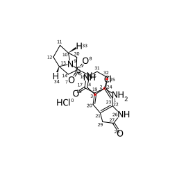 Cl.NC1CCN(S(=O)(=O)N2[C@@H]3CC[C@H]2C[C@@H](NC(=O)c2cc4c(cc2Cl)NC(=O)C4)C3)CC1